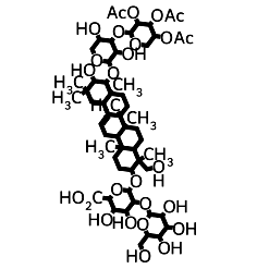 CC(=O)OC1COC(OC2C(O)COC(OC3C(O)C(C)(C)CC4C5=CCC6C7(C)CCC(OC8OC(C(=O)O)C(O)C(O)C8OC8OC(CO)C(O)C(O)C8O)C(C)(CO)C7CCC6(C)C5(C)CCC43C)C2O)C(OC(C)=O)C1OC(C)=O